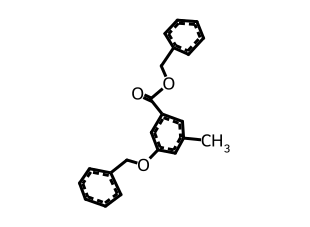 Cc1cc(OCc2ccccc2)cc(C(=O)OCc2ccccc2)c1